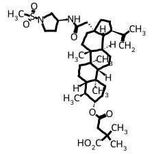 C=C(C)[C@@H]1CC[C@]2(CC(=O)N[C@H]3CCN(S(C)(=O)=O)C3)CC[C@]3(C)[C@H](CC[C@@H]4[C@@]5(C)CC[C@H](OC(=O)CC(C)(C)C(=O)O)[C@@H](C)[C@@H]5CC[C@]43C)[C@@H]12